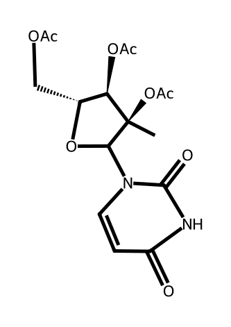 CC(=O)OC[C@H]1OC(n2ccc(=O)[nH]c2=O)[C@](C)(OC(C)=O)[C@@H]1OC(C)=O